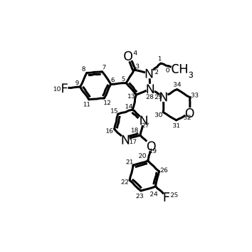 CCn1c(=O)c(-c2ccc(F)cc2)c(-c2ccnc(Oc3cccc(F)c3)n2)n1N1CCOCC1